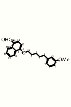 COc1cccc(CCCCCOc2ccc(C=O)c3ccccc23)c1